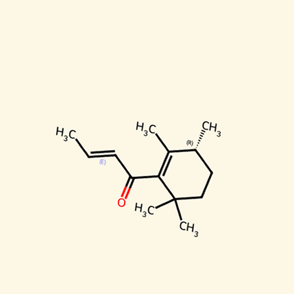 C/C=C/C(=O)C1=C(C)[C@H](C)CCC1(C)C